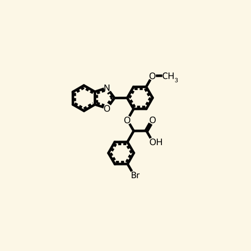 COc1ccc(OC(C(=O)O)c2cccc(Br)c2)c(-c2nc3ccccc3o2)c1